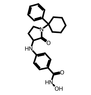 O=C(NO)c1ccc(NC2CCN(C3(c4ccccc4)CCCCC3)C2=O)cc1